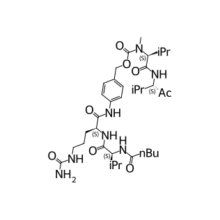 CCCCC(=O)N[C@H](C(=O)N[C@@H](CCCNC(N)=O)C(=O)Nc1ccc(COC(=O)N(C)[C@H](C(=O)N[C@H](C(C)=O)C(C)C)C(C)C)cc1)C(C)C